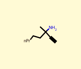 C#CC(C)(N)CCCCC